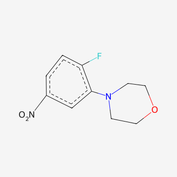 O=[N+]([O-])c1ccc(F)c(N2CCOCC2)c1